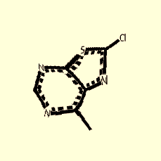 Cc1ncnc2sc(Cl)nc12